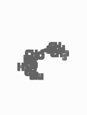 C#CCC(NC(=O)OC(C)(C)C)C(=O)NCCOCC#C[Si](C)(C)C